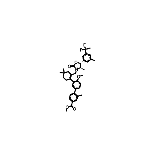 COC(=O)c1ccc(-c2ccc(OC)c(C3=C(CN4C(=O)O[C@H](c5cc(C)cc(C(F)(F)F)c5)[C@H]4C)CC(C)(C)CC3)c2)c(C)c1